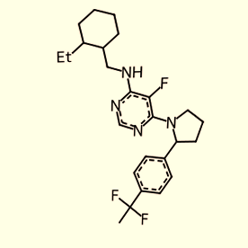 CCC1CCCCC1CNc1ncnc(N2CCCC2c2ccc(C(C)(F)F)cc2)c1F